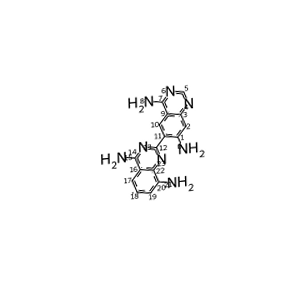 Nc1cc2ncnc(N)c2cc1-c1nc(N)c2c[c]cc(N)c2n1